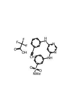 C#Cc1cccc(Nc2cc(Nc3cccc(S(=O)(=O)NC)c3)ncn2)c1.O=C(O)C(F)(F)F